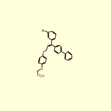 O=C(O)COc1ccc(SC/C=C(\c2ccc(-c3ccccc3)cc2)c2cccc(Br)c2)cc1